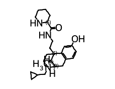 C[C@H]1[C@H]2Cc3ccc(O)cc3[C@@]1(CCNC(=O)[C@@H]1CCCCN1)CCN2CC1CC1